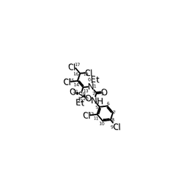 CCN(C(=O)Nc1ccc(Cl)cc1Cl)/C(=C(/Cl)C(Cl)Cl)S(=O)(=O)CC